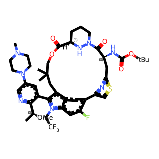 CO[C@@H](C)c1ncc(N2CCN(C)CC2)cc1-c1c2c3cc(c(F)cc3n1CC(F)(F)F)-c1csc(n1)C[C@H](NC(=O)OC(C)(C)C)C(=O)N1CCC[C@H](N1)C(=O)OCC(C)(C)C2